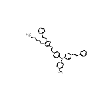 CCCCCCc1cc(/C=C/c2ccc(N(c3ccc(C)cc3)c3ccc(/C=C/c4ccccc4)cc3)cc2)sc1/C=C/c1ccccc1